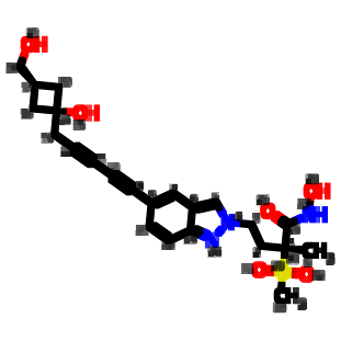 C[C@@](CCn1cc2cc(C#CC#CC[C@]3(O)C[C@@H](CO)C3)ccc2n1)(C(=O)NO)S(C)(=O)=O